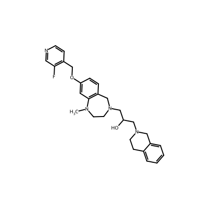 CN1CCN(CC(O)CN2CCc3ccccc3C2)Cc2ccc(OCc3ccncc3F)cc21